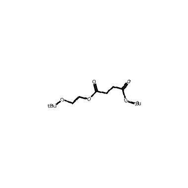 CC(C)(C)OCCOC(=O)CCC(=O)OC(C)(C)C